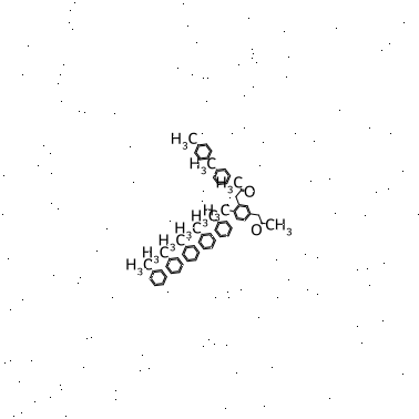 CC(=O)Cc1ccc(C)c(CC(C)=O)c1.Cc1ccccc1.Cc1ccccc1.Cc1ccccc1.Cc1ccccc1.Cc1ccccc1.Cc1ccccc1.Cc1ccccc1